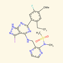 COc1cc(CC(F)(F)F)c(-c2nc(NCc3nccnc3N(C)S(C)(=O)=O)c3c(I)n[nH]c3n2)cc1F